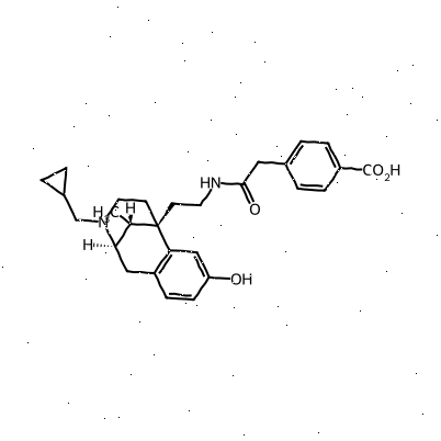 C[C@H]1[C@H]2Cc3ccc(O)cc3[C@@]1(CCNC(=O)Cc1ccc(C(=O)O)cc1)CCN2CC1CC1